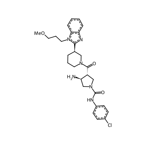 COCCCn1c([C@@H]2CCCN(C(=O)[C@@H]3CN(C(=O)Nc4ccc(Cl)cc4)C[C@H]3N)C2)nc2ccccc21